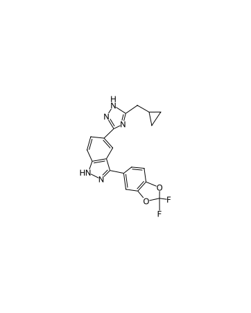 FC1(F)Oc2ccc(-c3n[nH]c4ccc(-c5n[nH]c(CC6CC6)n5)cc34)cc2O1